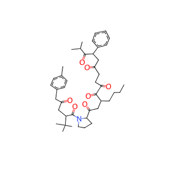 CCCCC(CC(=O)C1CCCN1C(=O)C(CC(=O)Cc1ccc(C)cc1)C(C)(C)C)C(=O)C(=O)CCC(=O)CC(C(=O)C(C)C)c1ccccc1